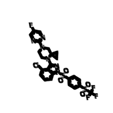 O=S(=O)(c1ccc(S(=O)(=O)C(F)(F)F)cc1)n1nc(N2CCN(c3ncc(F)cn3)CC23CC3)c2c(Cl)cccc21